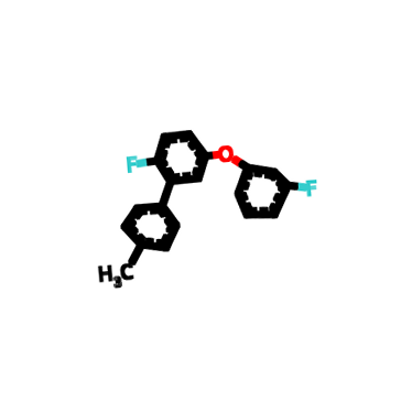 Cc1ccc(-c2cc(Oc3cccc(F)c3)ccc2F)cc1